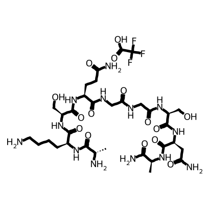 C[C@H](N)C(=O)N[C@@H](CCCCN)C(=O)N[C@@H](CO)C(=O)N[C@@H](CCC(N)=O)C(=O)NCC(=O)NCC(=O)N[C@@H](CO)C(=O)N[C@@H](CC(N)=O)C(=O)N[C@@H](C)C(N)=O.O=C(O)C(F)(F)F